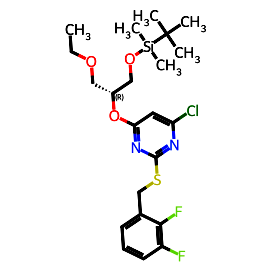 CCOC[C@H](CO[Si](C)(C)C(C)(C)C)Oc1cc(Cl)nc(SCc2cccc(F)c2F)n1